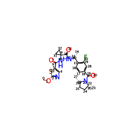 COc1ncc(C(=O)NC2(C(=O)N[C@H](C)c3ccc(C(=O)N4[C@H](C)CC[C@@H]4C)cc3F)CC2)s1